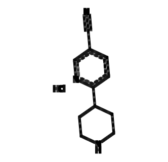 Cl.N#Cc1ccc(C2CCNCC2)nc1